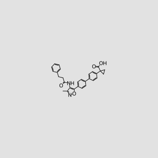 Cc1noc(-c2ccc(-c3ccc(C4(C(=O)O)CC4)cc3)cc2)c1NC(=O)CCc1ccccc1